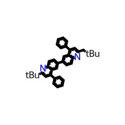 CC(C)(C)Cc1cc(-c2ccccc2)c2cc(-c3ccc4nc(C(C)(C)C)cc(-c5ccccc5)c4c3)ccc2n1